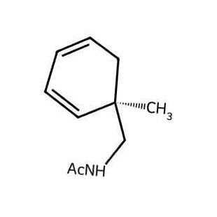 CC(=O)NC[C@@]1(C)C=CC=CC1